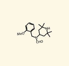 COc1ccccc1CN(C=O)C1CC(C)(C)NC(C)(C)C1